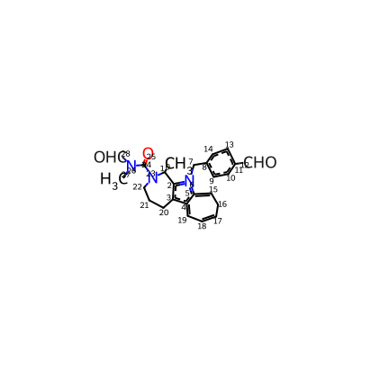 CC1c2c(c3c(n2Cc2ccc(C=O)cc2)=CCC=CC=3)CCCN1C(=O)N(C)C=O